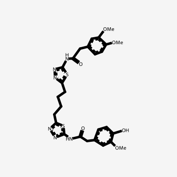 COc1cc(CC(=O)Nc2nnc(CCCCc3nnc(NC(=O)Cc4ccc(OC)c(OC)c4)s3)s2)ccc1O